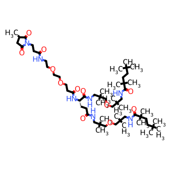 CC1CC(=O)N(CCC(=O)NCCOCCOCCC(=O)N[C@@H](CCC(=O)NCC(C)(C)COCC(C)(C)CNC(=O)C(C)(C)CCC(C)(C)C)C(=O)NCC(C)(C)COCC(C)(C)CNC(=O)C(C)(C)CCC(C)(C)C)C1=O